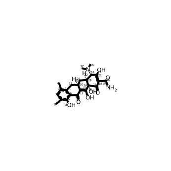 Cc1cc(C)c2c(c1O)C(=O)C1=C(O)[C@]3(O)C(=O)C(C(N)=O)=C(O)[C@@H](N(C)C)[C@@H]3C[C@@H]1C2